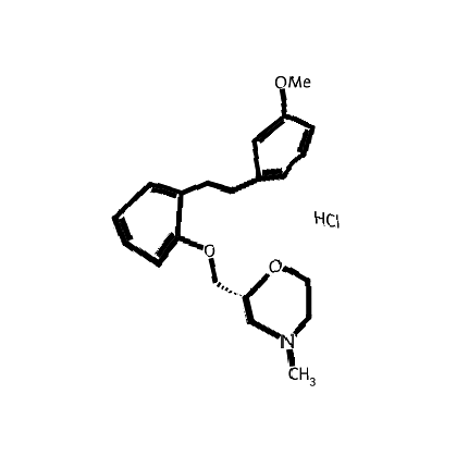 COc1cccc(CCc2ccccc2OC[C@H]2CN(C)CCO2)c1.Cl